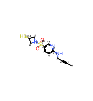 CC#CCNc1ccc(S(=O)(=O)N2CC(S)C2)cn1